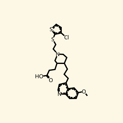 COc1ccc2nccc(CCCC3CCN(CCSc4sccc4Cl)CC3CCC(=O)O)c2c1